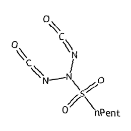 CCCCCS(=O)(=O)N(N=C=O)N=C=O